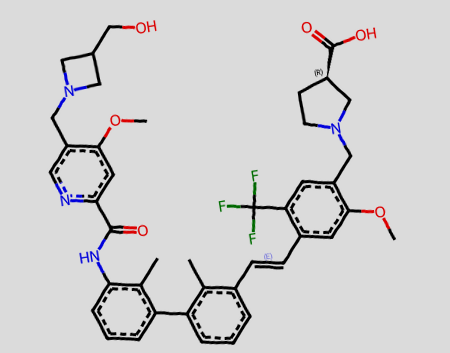 COc1cc(C(=O)Nc2cccc(-c3cccc(/C=C/c4cc(OC)c(CN5CC[C@@H](C(=O)O)C5)cc4C(F)(F)F)c3C)c2C)ncc1CN1CC(CO)C1